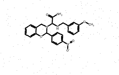 COc1cccc(CNC(C(N)=O)N2Cc3ccccc3OC2c2ccc([N+](=O)[O-])cc2)c1